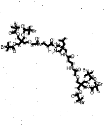 CC(C)CC(CN)(CNC(=O)CCNC(=O)COCC(COC(=O)C(C)(C)Br)(COC(=O)C(C)(C)Br)COC(=O)C(C)(C)Br)CNC(=O)CCNC(=O)COCC(COC(=O)C(C)(C)Br)(COC(=O)C(C)(C)Br)COC(=O)C(C)(C)Br